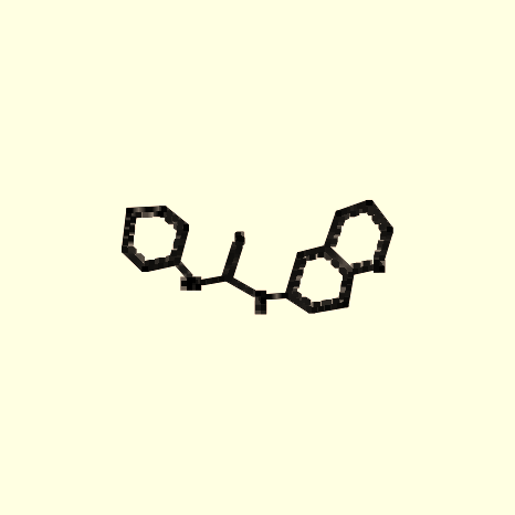 S=C(Nc1ccccc1)Nc1ccc2ncccc2c1